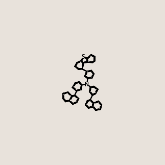 c1cc(-c2cccc3ccccc23)cc(N(c2cccc(-c3cccc4ccccc34)c2)c2cccc(-c3cccc4sc5ccccc5c34)c2)c1